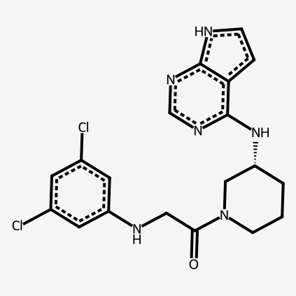 O=C(CNc1cc(Cl)cc(Cl)c1)N1CCC[C@@H](Nc2ncnc3[nH]ccc23)C1